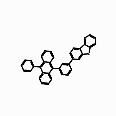 c1ccc(-c2c3ccccc3c(-c3cccc(-c4ccc5c(c4)sc4ccccc45)c3)c3ccccc23)cc1